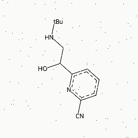 CC(C)(C)NCC(O)c1cccc(C#N)n1